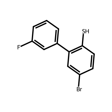 Fc1cccc(-c2cc(Br)ccc2S)c1